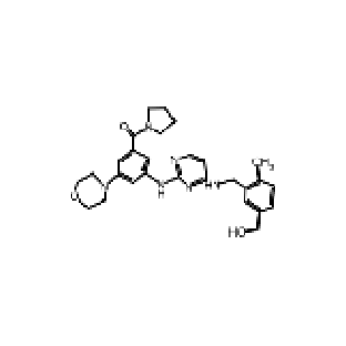 Cc1ccc(CO)cc1CNc1ccnc(Nc2cc(C(=O)N3CCCC3)cc(N3CCOCC3)c2)n1